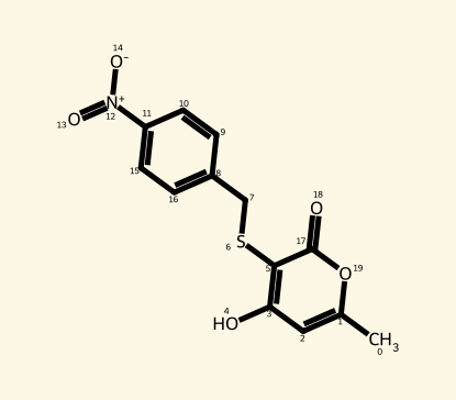 Cc1cc(O)c(SCc2ccc([N+](=O)[O-])cc2)c(=O)o1